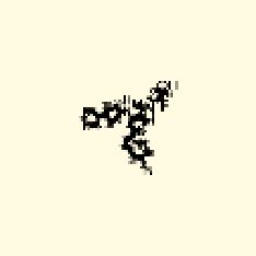 CC(C)(O)[C@H](F)CNC(=O)c1cnc(-c2ccc3cc(C#N)cnn23)cc1NC1CCC(c2cncnc2)CC1